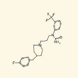 NC(=O)N(CCCN1CCC(Cc2ccc(F)cc2)CC1)c1cccc(C(F)(F)F)c1